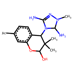 CC(=O)c1ccc2c(c1)OC(O)C(C)(C)C2N1C(N)=NN(C)C1N